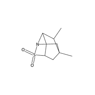 CC1C2N3C24CC1(C)CC4S3(=O)=O